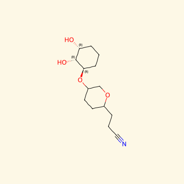 N#CCCC1CCC(O[C@@H]2CCC[C@@H](O)[C@H]2O)CO1